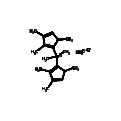 CC1=CC(C)[C]([Zr+2]([CH3])([CH3])[C]2=C(C)C(C)=CC2C)=C1C.[Cl-].[Cl-].[SiH4]